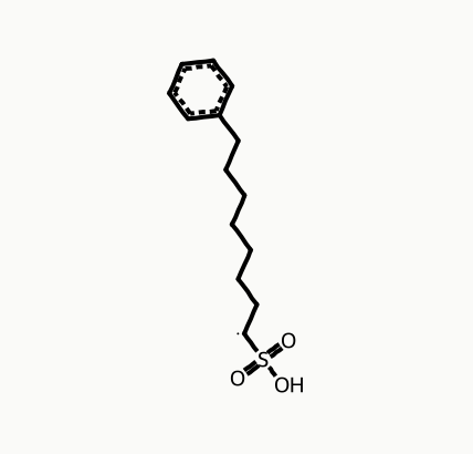 O=S(=O)(O)[CH]CCCCCCCc1ccccc1